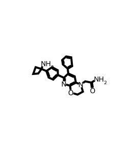 NC(=O)CN1CCOc2nc(-c3ccc(C4(N)CCC4)cc3)c(-c3ccccc3)cc21